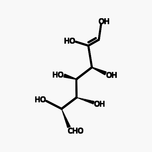 O=C[C@H](O)[C@@H](O)[C@@H](O)[C@H](O)C(O)=CO